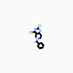 C[C@@H](c1ccccc1)N1CCc2nc(Cl)nc(Cl)c2C1